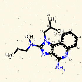 CCCN(C)c1nc2c(N)nc3ccccc3c2n1CC(C)C